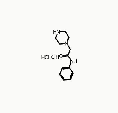 Cl.Cl.O=C(CN1CCNCC1)Nc1ccccc1